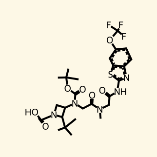 CN(CC(=O)Nc1nc2ccc(OC(F)(F)F)cc2s1)C(=O)CN(C(=O)OC(C)(C)C)C1CN(C(=O)O)C1C(C)(C)C